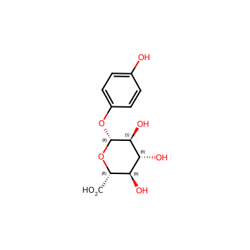 O=C(O)[C@@H]1O[C@H](Oc2ccc(O)cc2)[C@@H](O)[C@H](O)[C@H]1O